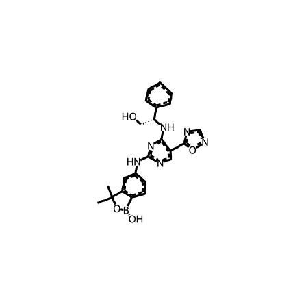 CC1(C)OB(O)c2ccc(Nc3ncc(-c4ncno4)c(N[C@H](CO)c4ccccc4)n3)cc21